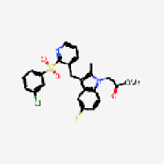 COC(=O)Cn1c(C)c(Cc2cccnc2S(=O)(=O)c2cccc(Cl)c2)c2cc(F)ccc21